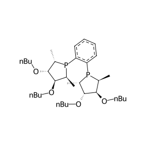 CCCCO[C@H]1[C@H](OCCCC)[C@H](C)P(c2ccccc2P2[C@@H](C)[C@@H](OCCCC)[C@H](OCCCC)[C@@H]2C)[C@H]1C